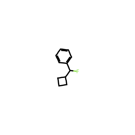 FC(c1ccccc1)C1CCC1